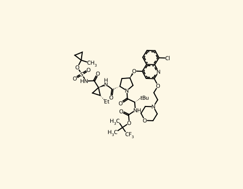 CC[C@@H]1C[C@]1(NC(=O)[C@@H]1C[C@@H](Oc2cc(OCCN3CCOCC3)nc3c(Cl)cccc23)CN1C(=O)[C@@H](NC(=O)OC(C)(C)C(F)(F)F)C(C)(C)C)C(=O)NS(=O)(=O)OC1(C)CC1